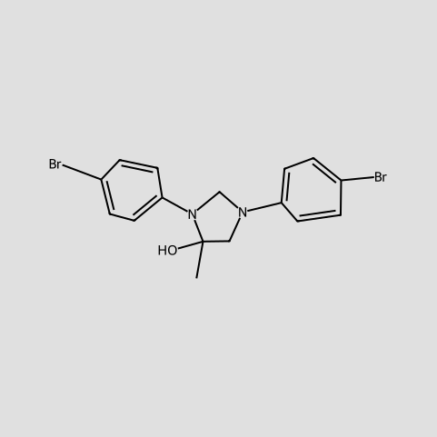 CC1(O)CN(c2ccc(Br)cc2)CN1c1ccc(Br)cc1